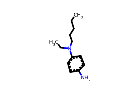 CCCCCN(CC)c1ccc(N)cc1